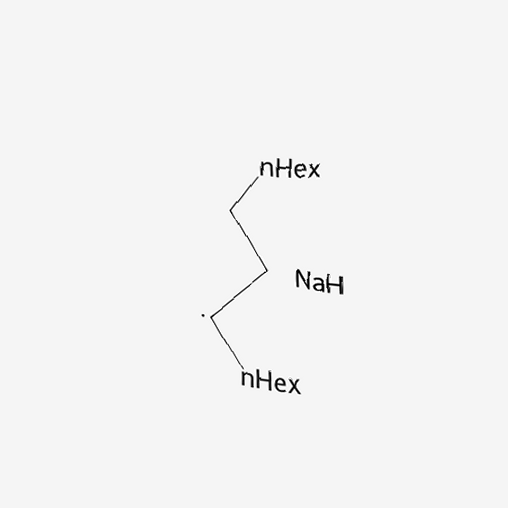 CCCCCC[CH]CCCCCCCC.[NaH]